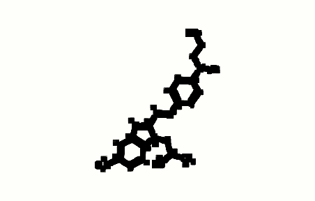 CCN(CCO)c1ccc(N=Nc2nc3cc([N+](=O)[O-])ccc3n2CC(C)O)cc1